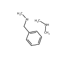 CNC.[CH3][Al][CH2]c1ccccc1